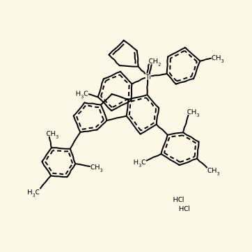 Cl.Cl.[CH2]=[Ti]([C]1=CC=CC1)([c]1ccc(C)cc1)([c]1ccc(C)cc1)[c]1cc(-c2c(C)cc(C)cc2C)cc2c1Cc1ccc(-c3c(C)cc(C)cc3C)cc1-2